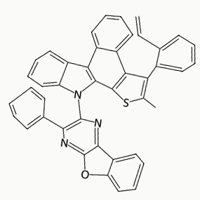 C=Cc1ccccc1-c1c(C)sc2c1c1ccccc1c1c3ccccc3n(-c3nc4c(nc3-c3ccccc3)oc3ccccc34)c21